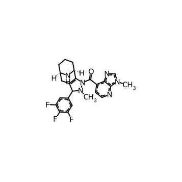 CN1C(c2cc(F)c(F)c(F)c2)C2=C([C@@H]3CCC[C@H](C2)N3)N1C(=O)c1ccnc2c1ncn2C